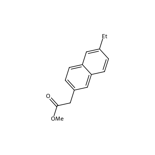 CCc1ccc2cc(CC(=O)OC)ccc2c1